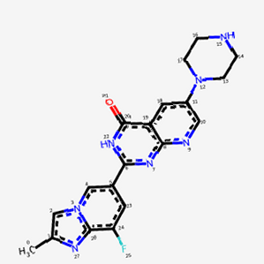 Cc1cn2cc(-c3nc4ncc(N5CCNCC5)cc4c(=O)[nH]3)cc(F)c2n1